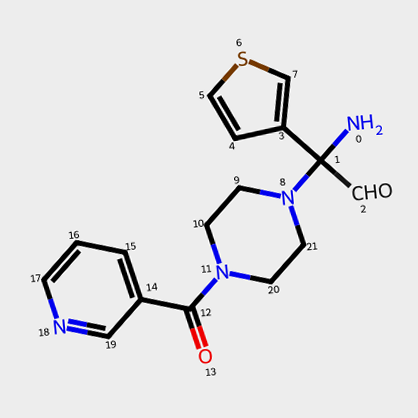 NC(C=O)(c1ccsc1)N1CCN(C(=O)c2cccnc2)CC1